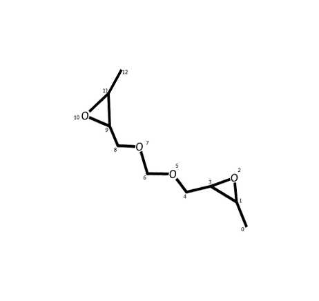 CC1OC1COCOCC1OC1C